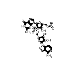 Nc1nc2c(ncn2[C@@H]2O[C@H](CO[PH](=O)O)[C@@H](O)[C@H]2P(=O)(O)OC[C@H]2O[C@@H](n3nnc4c(N)nccc43)[C@H](O)[C@@H]2O)c(=O)[nH]1